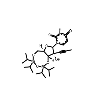 CC#C[C@]1(O)C(n2ccc(=O)[nH]c2=O)O[C@@H]2CO[Si](C(C)C)(C(C)C)O[Si](C(C)C)(C(C)C)O[C@H]21